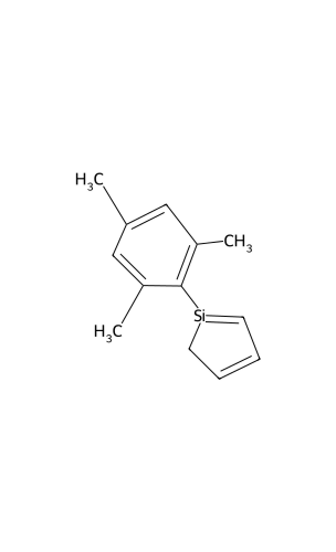 Cc1cc(C)c([Si]2=CC=CC2)c(C)c1